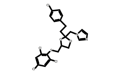 Clc1ccc(CCC2(Cn3ccnc3)OCC(CSc3c(Cl)cc(Cl)cc3Cl)O2)cc1